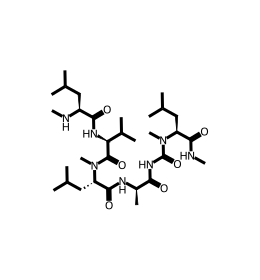 CNC(=O)[C@H](CC(C)C)N(C)C(=O)NC(=O)[C@@H](C)NC(=O)[C@H](CC(C)C)N(C)C(=O)[C@@H](NC(=O)[C@H](CC(C)C)NC)C(C)C